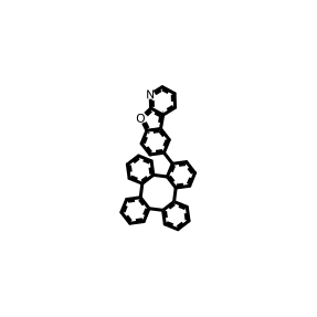 c1ccc2c(c1)-c1ccccc1-c1cccc(-c3ccc4oc5ncccc5c4c3)c1-c1ccccc1-2